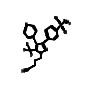 NS(=O)(=O)c1ccc(-c2nn(CCCO)c(C(F)(F)F)c2-c2ccncc2)cc1